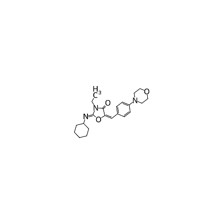 CCN1C(=O)/C(=C\c2ccc(N3CCOCC3)cc2)OC1=NC1CCCCC1